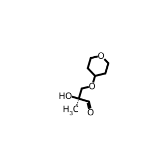 C[C@@](O)(C=O)COC1CCOCC1